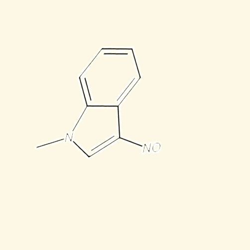 Cn1cc(N=O)c2ccccc21